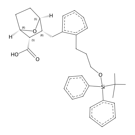 CC(C)(C)[Si](OCCCc1ccccc1C[C@@H]1[C@H](C(=O)O)[C@H]2CC[C@@H]1O2)(c1ccccc1)c1ccccc1